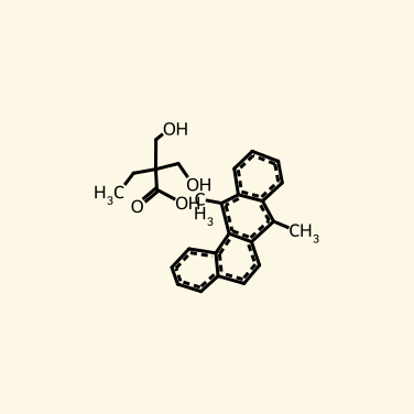 CCC(CO)(CO)C(=O)O.Cc1c2ccccc2c(C)c2c1ccc1ccccc12